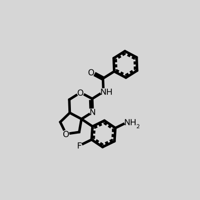 Nc1ccc(F)c(C23COCC2COC(NC(=O)c2ccccc2)=N3)c1